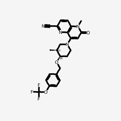 C[C@H]1CN(c2cc(=O)n(C)c3ccc(C#N)nc23)CC[C@H]1OCc1ccc(OC(F)(F)F)cc1